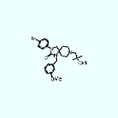 COc1cccc(CN2C(=O)N(c3ccc(Br)cc3)CC23CCN(CC(C)(C)O)CC3)c1